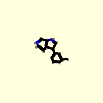 Cc1cccc(C2C=Nc3cnccc32)c1